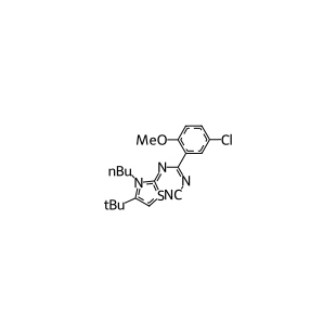 CCCCn1c(C(C)(C)C)csc1=NC(=NC#N)c1cc(Cl)ccc1OC